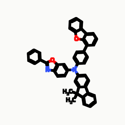 CC1(C)c2ccccc2-c2ccc(N(c3ccc(-c4cccc5c4oc4ccccc45)cc3)c3ccc4nc(-c5ccccc5)oc4c3)cc21